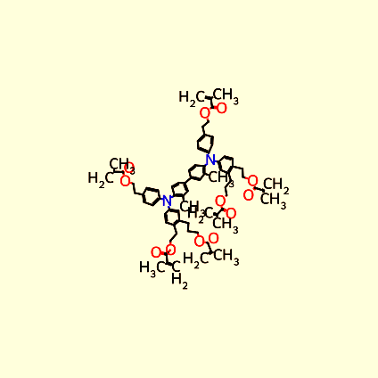 C=C(C)C(=O)OCCCc1cc(N(c2ccc(CCOC(=O)C(=C)C)cc2)c2ccc(-c3ccc(N(c4ccc(CCOC(=O)C(=C)C)cc4)c4ccc(CCOC(=O)C(=C)C)c(CCCOC(=O)C(=C)C)c4)c(C)c3)cc2C)ccc1CCOC(=O)C(=C)C